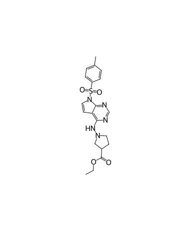 CCOC(=O)C1CCN(Nc2ncnc3c2ccn3S(=O)(=O)c2ccc(C)cc2)C1